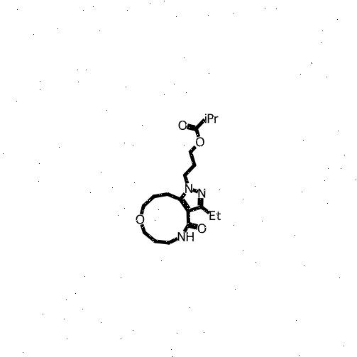 CCc1nn(CCCOC(=O)C(C)C)c2c1C(=O)NCCCOCCC2